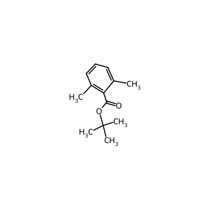 Cc1cccc(C)c1C(=O)OC(C)(C)C